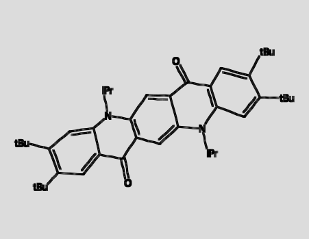 CC(C)n1c2cc(C(C)(C)C)c(C(C)(C)C)cc2c(=O)c2cc3c(cc21)c(=O)c1cc(C(C)(C)C)c(C(C)(C)C)cc1n3C(C)C